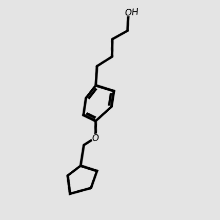 OCCCCc1ccc(OCC2CCCC2)cc1